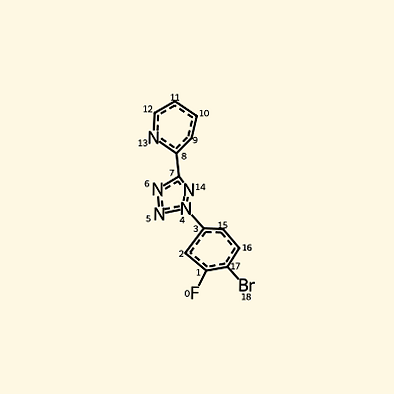 Fc1cc(-n2nnc(-c3ccccn3)n2)ccc1Br